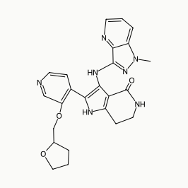 Cn1nc(Nc2c(-c3ccncc3OCC3CCCO3)[nH]c3c2C(=O)NCC3)c2ncccc21